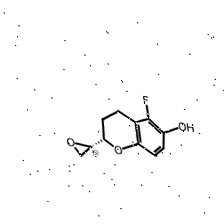 Oc1ccc2c(c1F)CCC([C@@H]1CO1)O2